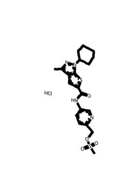 Cc1nn(C2CCCCC2)c2sc(C(=O)Nc3ccc(COS(C)(=O)=O)nc3)cc12.Cl